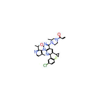 C=CC(=O)N1CCN(c2nc(=O)n(-c3c(C)ccnc3C(C)C)c3nc(-c4cc(Cl)ccc4F)c(C4CC4)cc23)C(C)C1